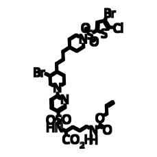 C=CCOC(=O)NCCCC(NS(=O)(=O)c1ccc(N2CCC(CCCC3CCN(S(=O)(=O)c4cc(Br)c(Cl)s4)CC3)C(Br)C2)nc1)C(=O)O